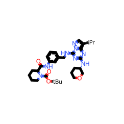 CC(C)c1cnn2c(NCc3cccc(NC(=O)C4CCCCN4C(=O)OC(C)(C)C)c3)nc(N[C@H]3CCCOC3)nc12